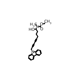 CCOC(=O)N(C)C(O)CCCC#CC#CCn1c2ccccc2c2ccccc21